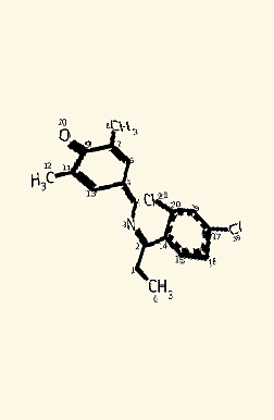 CC/C(=N/C=C1C=C(C)C(=O)C(C)=C1)c1ccc(Cl)cc1Cl